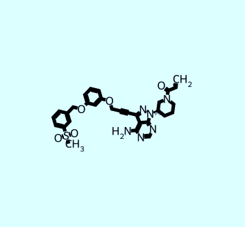 C=CC(=O)N1CCC[C@@H](n2nc(C#CCOc3cccc(OCc4cccc(S(C)(=O)=O)c4)c3)c3c(N)ncnc32)C1